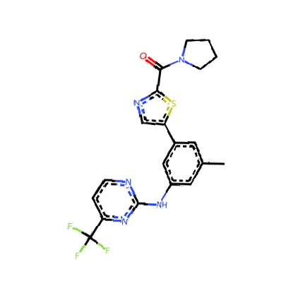 Cc1cc(Nc2nccc(C(F)(F)F)n2)cc(-c2cnc(C(=O)N3CCCC3)s2)c1